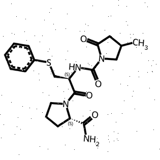 CC1CC(=O)N(C(=O)N[C@H](CSc2ccccc2)C(=O)N2CCC[C@H]2C(N)=O)C1